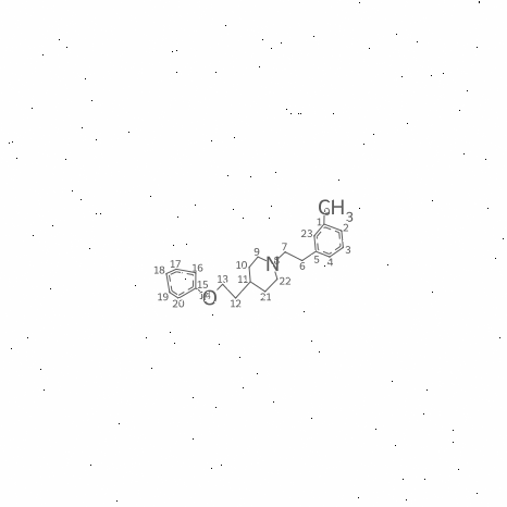 Cc1cccc(CCN2CCC(CCOc3ccccc3)CC2)c1